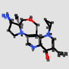 N[C@@H]1CCN2c3cnc4c(=O)c(C(=O)O)cn(C5CC5)c4c3COC[C@H]12